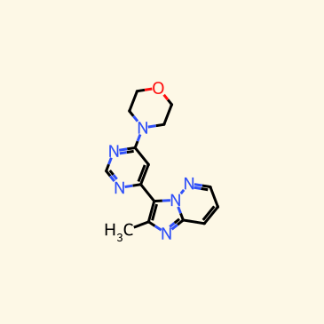 Cc1nc2cccnn2c1-c1cc(N2CCOCC2)ncn1